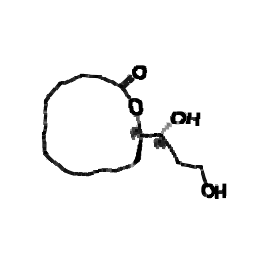 O=C1CCCCCCCCCC[C@H]([C@H](O)CCO)O1